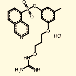 Cc1cc(OCCCONC(=N)N)cc(OS(=O)(=O)c2cccc3cnccc23)c1.Cl